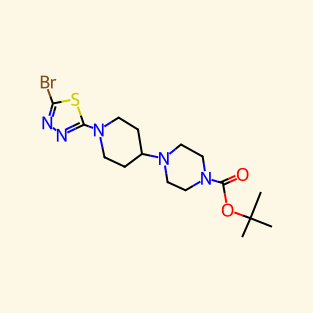 CC(C)(C)OC(=O)N1CCN(C2CCN(c3nnc(Br)s3)CC2)CC1